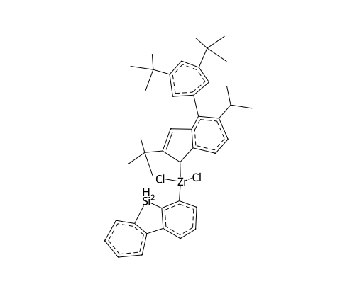 CC(C)c1ccc2c(c1-c1cc(C(C)(C)C)cc(C(C)(C)C)c1)C=C(C(C)(C)C)[CH]2[Zr]([Cl])([Cl])[c]1cccc2c1[SiH2]c1ccccc1-2